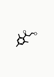 Cc1cc(C)c(C(=O)CC[O])c(C)c1